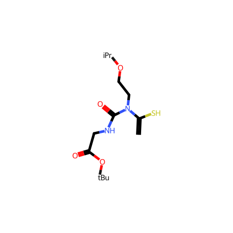 C=C(S)N(CCOC(C)C)C(=O)NCC(=O)OC(C)(C)C